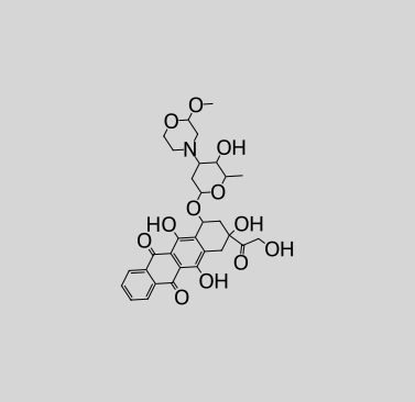 COC1CN(C2CC(OC3CC(O)(C(=O)CO)Cc4c(O)c5c(c(O)c43)C(=O)c3ccccc3C5=O)OC(C)C2O)CCO1